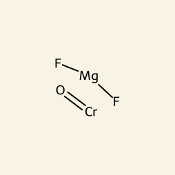 [F][Mg][F].[O]=[Cr]